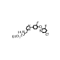 CCOC(=O)CC(N)Cc1ccnc(-c2ccc(Oc3ncc(Cl)cc3F)c(F)c2)n1